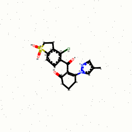 Cc1cnn(C2=C(C(=O)c3ccc4c(c3Cl)CCS4(=O)=O)C(=O)CCC2)c1